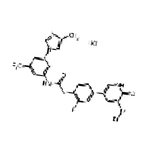 CCOc1cc(-c2ccc(CC(=O)Nc3cc(-n4cnc(C)c4)cc(C(F)(F)F)c3)c(F)c2)c[nH]c1=O.Cl